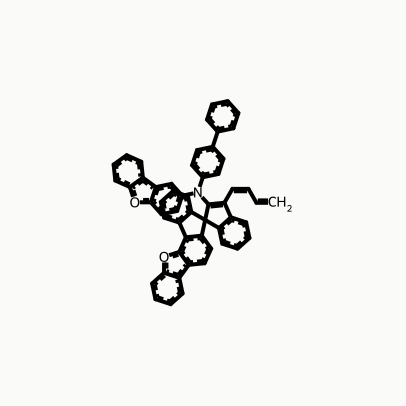 C=C/C=C\C1=C(N(c2ccc(-c3ccccc3)cc2)c2ccc3oc4ccccc4c3c2)C2(c3ccccc31)c1ccccc1-c1c2ccc2c1oc1ccccc12